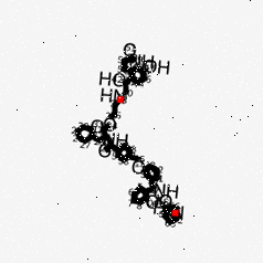 O=C(NC(c1ccccc1)c1cccc(OCc2ccc(C(=O)NC(CC3CCCCC3)C(=O)OCCCCNC[C@H](O)c3ccc(O)c4[nH]c(=O)ccc34)cc2)c1)O[C@H]1CN2CCC1CC2